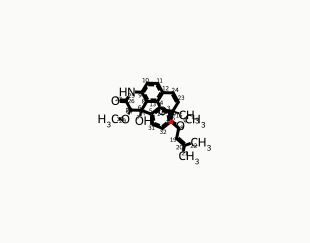 COc1ccc([C@@]2(O)c3c(ccc4c3O[C@@](C)(CCC=C(C)C)C=C4)NC(=O)[C@@H]2OC)cc1